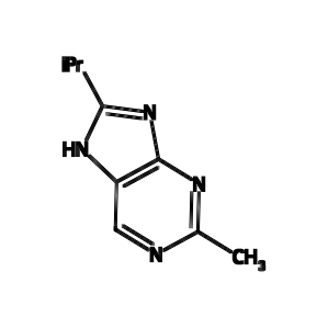 Cc1ncc2[nH]c(C(C)C)nc2n1